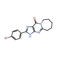 O=c1c2nc(-c3ccc(Br)cc3)[nH]c2nc2n1CCCCC2